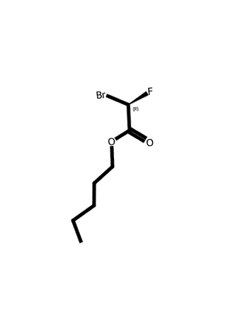 CCCCCOC(=O)[C@H](F)Br